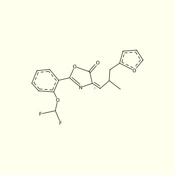 CC(/C=C1/N=C(c2ccccc2OC(F)F)OC1=O)Cc1ccco1